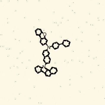 c1ccc(-c2ccc(N(c3ccc4cc(-n5c6ccccc6c6ccc7ccccc7c65)ccc4c3)c3ccc4c(c3)oc3ccccc34)cc2)cc1